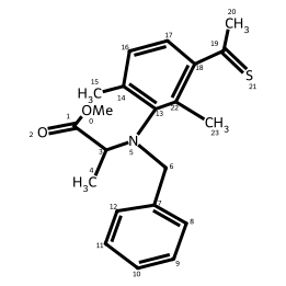 COC(=O)C(C)N(Cc1ccccc1)c1c(C)ccc(C(C)=S)c1C